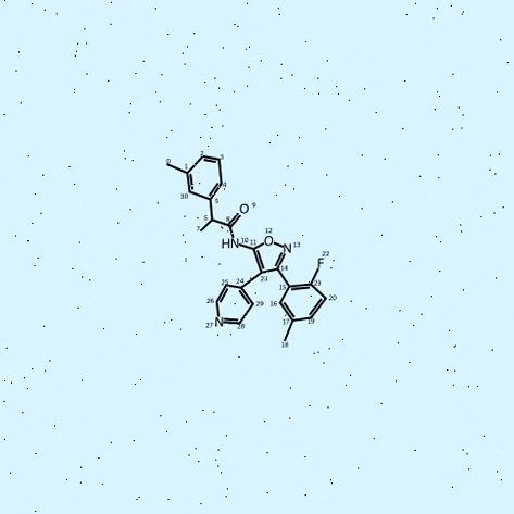 Cc1cccc(C(C)C(=O)Nc2onc(-c3cc(C)ccc3F)c2-c2ccncc2)c1